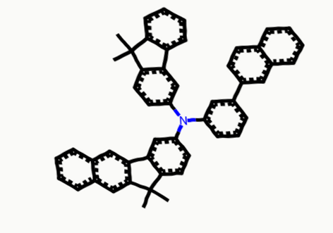 CC1(C)c2ccccc2-c2cc(N(c3cccc(-c4ccc5ccccc5c4)c3)c3ccc4c(c3)-c3cc5ccccc5cc3C4(C)C)ccc21